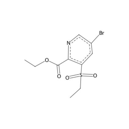 CCOC(=O)c1ncc(Br)cc1S(=O)(=O)CC